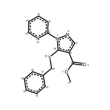 COC(=O)c1cnn(-c2ccccn2)c1SCc1ccccc1